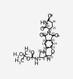 CC(C)(C)OC(=O)N[C@H]1C[C@H]2COc3cc4c(cc3N2C1)C(=O)N(C1CCC(=O)NC1=O)C4=O